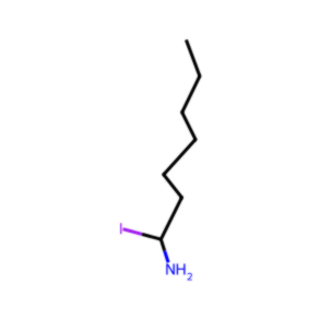 CCCCCCC(N)I